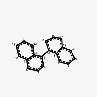 [c]1ccc2c(-c3cccc4ccccc34)cccc2c1